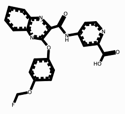 O=C(O)c1cc(NC(=O)c2nc3ccccc3nc2Oc2ccc(OCF)cc2)ccn1